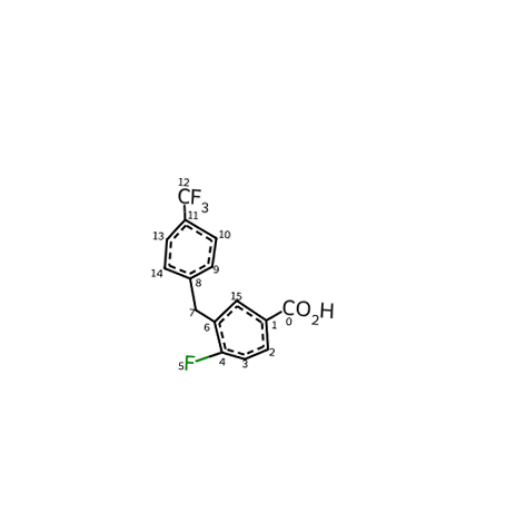 O=C(O)c1ccc(F)c(Cc2ccc(C(F)(F)F)cc2)c1